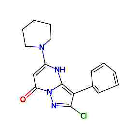 O=c1cc(N2CCCCC2)[nH]c2c(-c3ccccc3)c(Cl)nn12